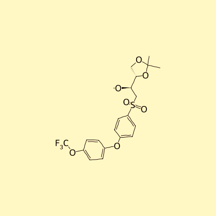 CC1(C)OC[C@@H]([C@H]([O])CS(=O)(=O)c2ccc(Oc3ccc(OC(F)(F)F)cc3)cc2)O1